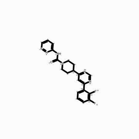 O=C(Nc1cccnn1)N1CCC(c2cc(-c3cccc(F)c3F)ncn2)CC1